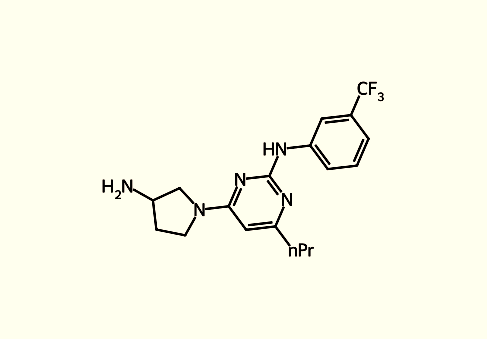 CCCc1cc(N2CCC(N)C2)nc(Nc2cccc(C(F)(F)F)c2)n1